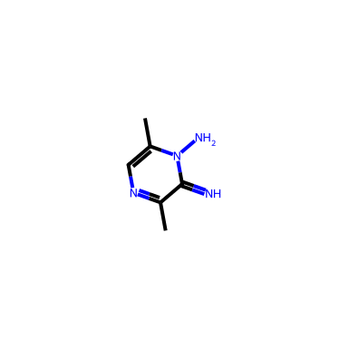 Cc1ncc(C)n(N)c1=N